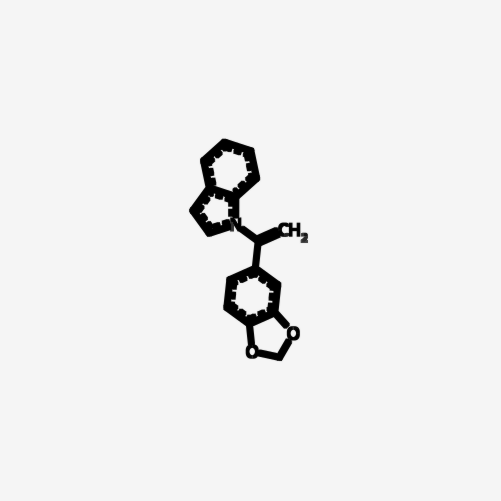 C=C(c1ccc2c(c1)OCO2)n1ccc2ccccc21